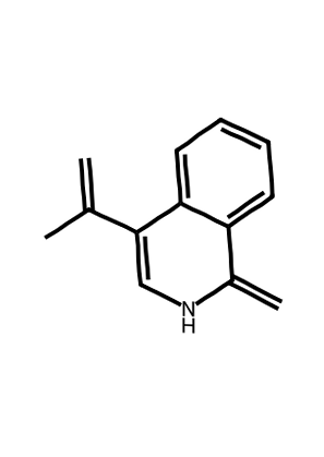 C=C(C)C1=CNC(=C)c2ccccc21